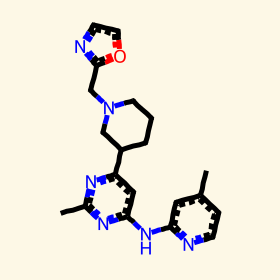 Cc1ccnc(Nc2cc(C3CCCN(Cc4ncco4)C3)nc(C)n2)c1